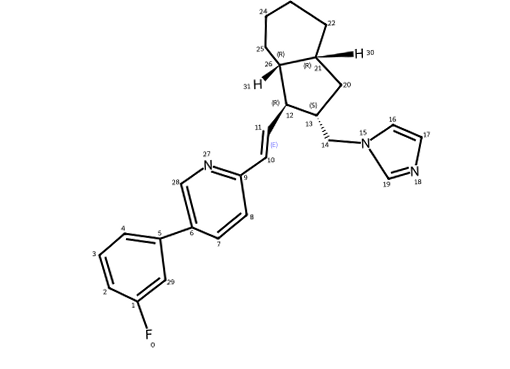 Fc1cccc(-c2ccc(/C=C/[C@@H]3[C@@H](Cn4ccnc4)C[C@H]4CCCC[C@H]43)nc2)c1